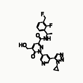 C[C@@H](NC(=O)c1cc(CO)c(=O)n(-c2cncc(-c3cnnn3C3CC3)c2)n1)c1cccc(CF)c1F